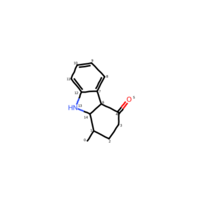 CC1CCC(=O)C2c3ccccc3NC12